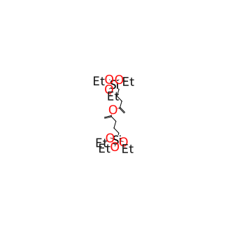 C=C(CCC[Si](OCC)(OCC)OCC)OC(=C)CCC[Si](OCC)(OCC)OCC